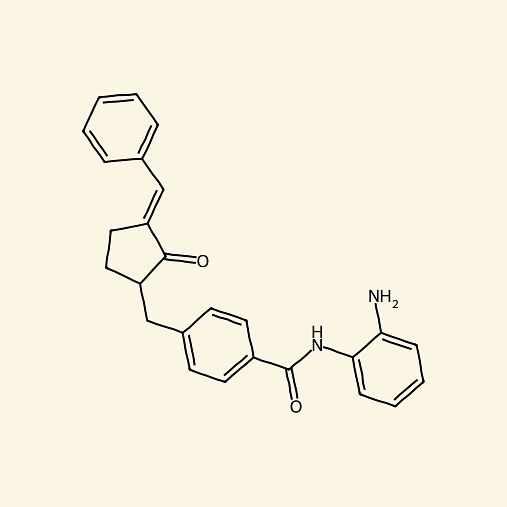 Nc1ccccc1NC(=O)c1ccc(CC2CC/C(=C\c3ccccc3)C2=O)cc1